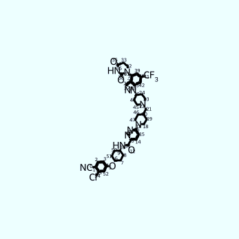 N#Cc1ccc(O[C@H]2CC[C@H](NC(=O)c3ccc(N4CCC(CN5CCC(n6ncc7c(N8CCC(=O)NC8=O)cc(C(F)(F)F)cc76)CC5)CC4)nn3)CC2)cc1Cl